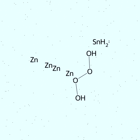 OOOO.[SnH2].[Zn].[Zn].[Zn].[Zn]